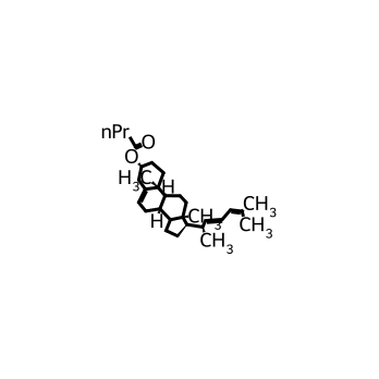 CCCC(=O)O[C@H]1CC[C@@]2(C)C(=CC[C@H]3C4CC[C@H]([C@H](C)C=CC=C(C)C)[C@@]4(C)CC[C@@H]32)C1